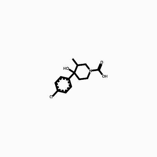 CC1CN(C(=O)O)CCC1(O)c1ccc(Cl)cc1